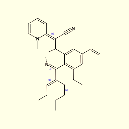 C=Cc1cc(CC)c(C(=N\C)/C(/C=C\CC)=C/CC)c(C(C)/C(C#N)=C2/C=CC=CN2C)c1